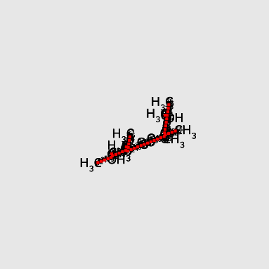 CCCCCCCCC(O)C(CCCCCCCC(=O)OC(CCCCCCCC(=O)OCCCOC(=O)CCCCCCC(OC)C(CCCCCCCC)OC(=O)CCCCCCCC(O)C(CCCCCCCC)OC)C(CCCCCCCC)OC)OC